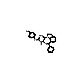 O=C(Nc1ccc(Cl)cc1)NC1N=C(c2ccccc2)c2cccc3c2N(CC3)C1=O